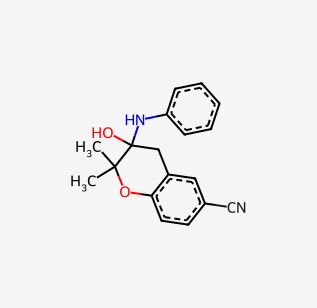 CC1(C)Oc2ccc(C#N)cc2CC1(O)Nc1ccccc1